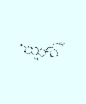 C[C@@H](c1ccc(Br)cc1)N1CC[C@@](CCCS(=O)(=O)O)(c2ccccc2)OC1=O